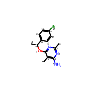 Cc1nc(N)c(C)c(O[C@@H](C)c2ccc(Br)cc2)n1